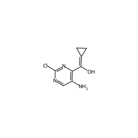 Nc1cnc(Cl)nc1C(O)=C1CC1